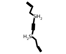 C=CC[SiH2]C#C[SiH2]CC=C